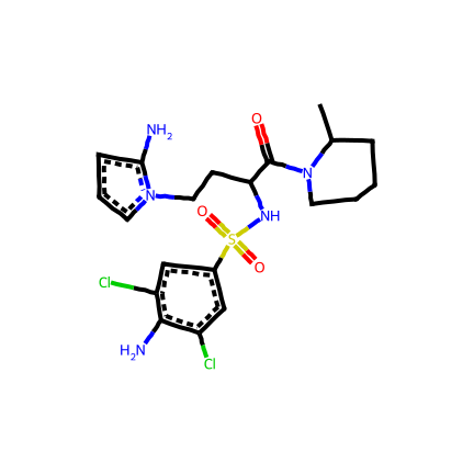 CC1CCCCN1C(=O)C(CCn1cccc1N)NS(=O)(=O)c1cc(Cl)c(N)c(Cl)c1